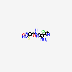 CN1C(=O)NC(=S)C12CCC(=CC(=O)Nc1cc3cc(-c4cnccc4Cl)cc(N)c3cn1)CC2